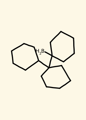 BC1(C2(C3CCCCC3)CCCCC2)CCCCC1